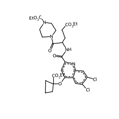 CCOC(=O)CCC(NC(=O)c1cc(OC2(C(=O)OCC)CCC2)c2cc(Cl)c(Cl)cc2n1)C(=O)N1CCN(C(=O)OCC)CC1